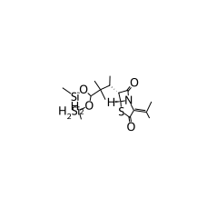 C[SiH2]OC(O[SiH2]C)C(C)(C)C(C)[C@@H]1C(=O)N2C(=C(C)C)C(=O)S[C@H]12